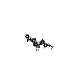 CN(C)CCOc1cc(F)cc(-c2cncc3[nH]c(-c4n[nH]c5cnc(-c6cncc(NC(=O)CC7CCCCC7)c6)cc45)cc23)c1